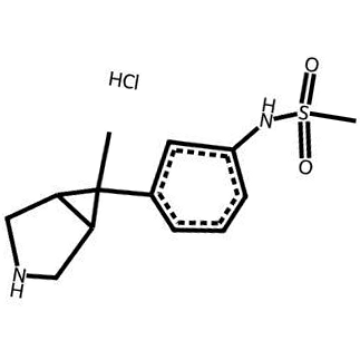 CC1(c2cccc(NS(C)(=O)=O)c2)C2CNCC21.Cl